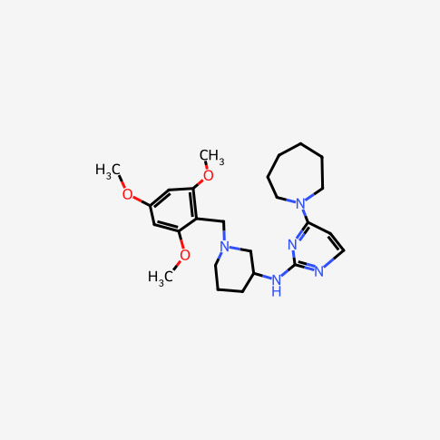 COc1cc(OC)c(CN2CCCC(Nc3nccc(N4CCCCCC4)n3)C2)c(OC)c1